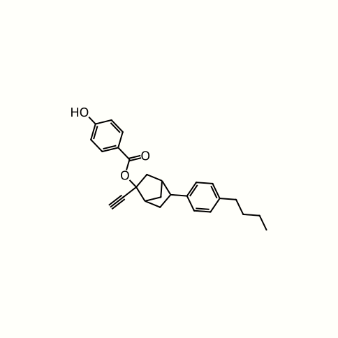 C#CC1(OC(=O)c2ccc(O)cc2)CC2CC1CC2c1ccc(CCCC)cc1